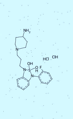 Cl.Cl.NC1CCN(CCCN2c3ccccc3N(c3ccccc3F)S2(O)O)CC1